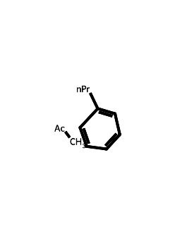 CC(C)=O.CCCc1ccccc1